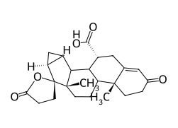 C[C@]12CCC(=O)C=C1C[C@@H](C(=O)O)C1C2CC[C@@]2(C)C1[C@@H]1C[C@@H]1[C@]21CCC(=O)O1